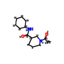 CC(C)C(=O)N1CCCC(C(=O)NC2CCCCC2)C1